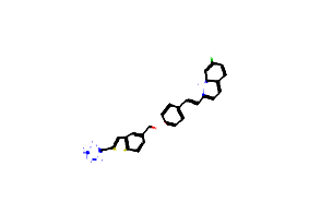 Clc1ccc2ccc(C=Cc3ccc(OCc4ccc5sc(-c6nnn[nH]6)cc5c4)cc3)nc2c1